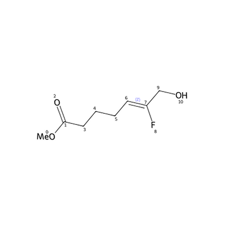 COC(=O)CCC/C=C(\F)CO